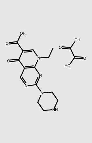 CCn1cc(C(=O)O)c(=O)c2cnc(N3CCNCC3)nc21.O=C(O)C(=O)O